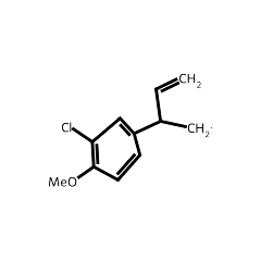 [CH2]C(C=C)c1ccc(OC)c(Cl)c1